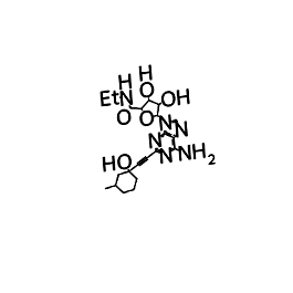 CCNC(=O)C1OC(n2cnc3c(N)nc(C#CC4(O)CCCC(C)C4)nc32)C(O)C1O